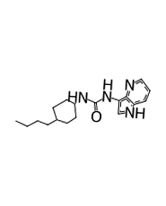 CCCCC1CCC(NC(=O)Nc2c[nH]c3cccnc23)CC1